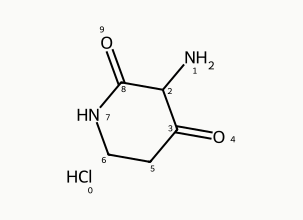 Cl.NC1C(=O)CCNC1=O